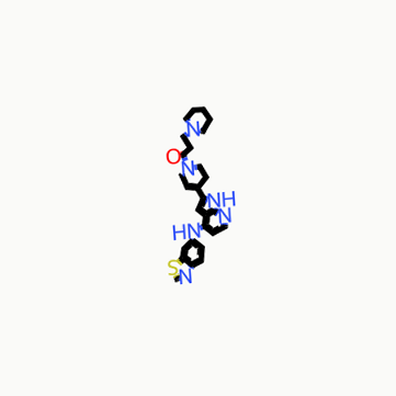 O=C(CCN1CCCCC1)N1CC=C(c2cc3c(Nc4ccc5ncsc5c4)ccnc3[nH]2)CC1